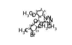 COc1cccc(-n2nnn(C)c2=O)c1COc1cc(C)c(Br)cc1C